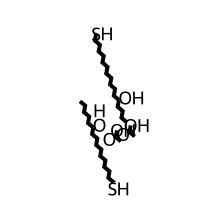 CC(=O)O.CC(=O)O.CCCCC(O)CCCCCCCCCCCS.CCCCCC(O)CCCCCCCCCCS